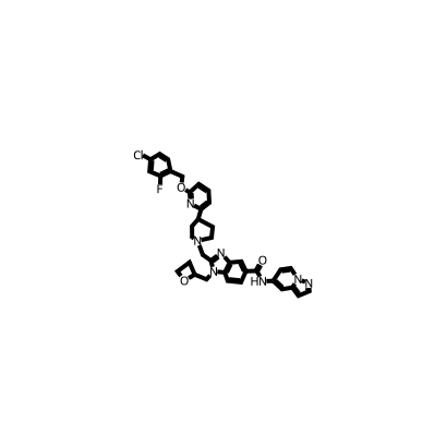 O=C(Nc1ccn2nccc2c1)c1ccc2c(c1)nc(CN1CCC(c3cccc(OCc4ccc(Cl)cc4F)n3)CC1)n2CC1CCO1